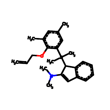 C=CCOc1c(C)cc(C)cc1[Si](C)(C)C1C(N(C)C)=Cc2ccccc21